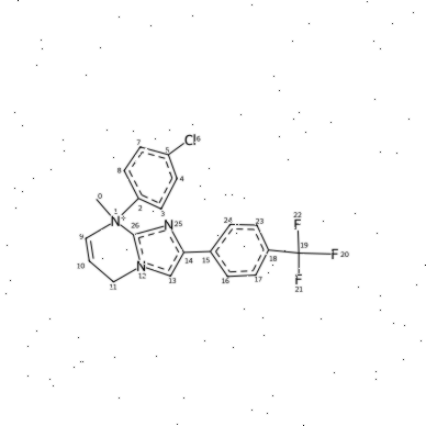 C[N+]1(c2ccc(Cl)cc2)C=CCn2cc(-c3ccc(C(F)(F)F)cc3)nc21